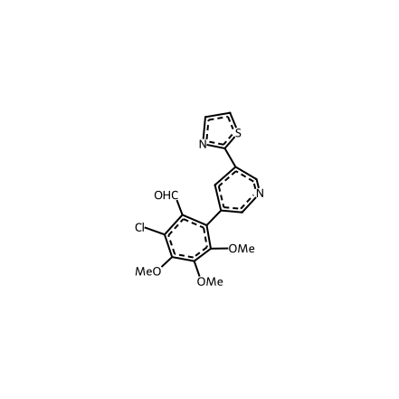 COc1c(Cl)c(C=O)c(-c2cncc(-c3nccs3)c2)c(OC)c1OC